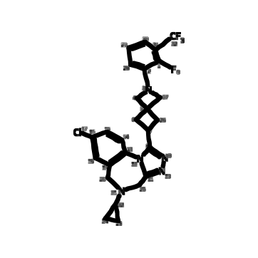 Fc1c(N2CC3(CC(c4nnc5n4-c4ccc(Cl)cc4CN(C4CC4)C5)C3)C2)cccc1C(F)(F)F